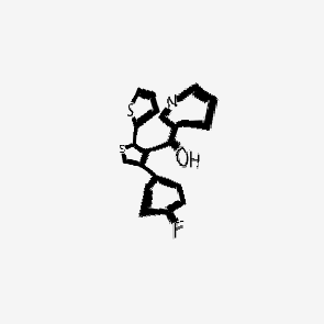 OC(c1cccnc1)c1c(-c2ccc(F)cc2)csc1-c1cccs1